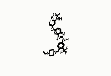 C=N/C(=C\C(=C/C)Oc1ccc2nc(Nc3ccc(CN4CCN(CC)CC4)c(C(F)(F)F)c3)n(C)c2n1)NC(C)=O